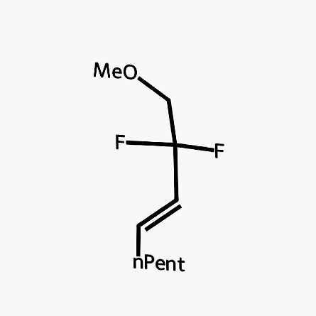 CCCCC/C=C/C(F)(F)COC